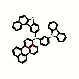 c1ccc(-c2cccc3cccc(-c4ccc(N(c5cccc(-n6c7ccccc7c7ccccc76)c5)c5ccc6sc7ccc8ccccc8c7c6c5)cc4)c23)cc1